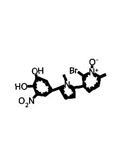 Cc1ccc(-c2ccc(-c3cc(O)c(O)c([N+](=O)[O-])c3)n2C)c(Br)[n+]1[O-]